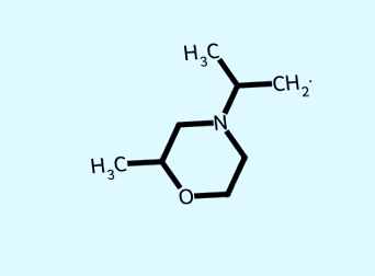 [CH2]C(C)N1CCOC(C)C1